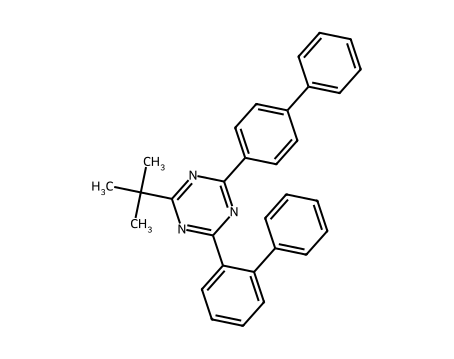 CC(C)(C)c1nc(-c2ccc(-c3ccccc3)cc2)nc(-c2ccccc2-c2ccccc2)n1